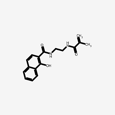 C=C(C)C(=O)NCCNC(=O)c1ccc2ccccc2c1O